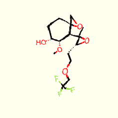 CO[C@@H]1[C@H](O)CC[C@]2(CO2)[C@H]1C1(C)O[C@@H]1CCOCC(F)(F)F